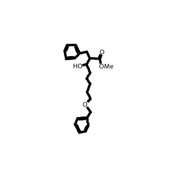 COC(=O)C(Cc1ccccc1)C(O)CCCCCOCc1ccccc1